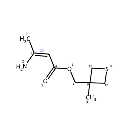 C/C(N)=C/C(=O)OCC1(C)CSC1